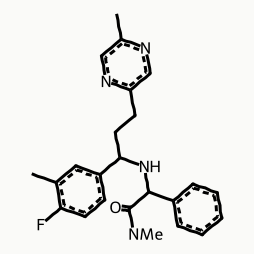 CNC(=O)C(NC(CCc1cnc(C)cn1)c1ccc(F)c(C)c1)c1ccccc1